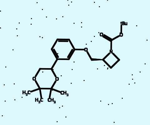 CC(C)(C)OC(=O)N1CC[C@H]1COc1cccc(C2COC(C)(C)C(C)(C)O2)c1